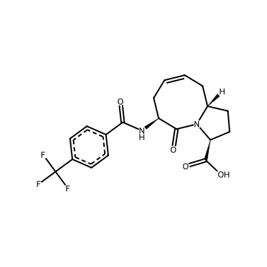 O=C(N[C@H]1C/C=C\C[C@@H]2CC[C@@H](C(=O)O)N2C1=O)c1ccc(C(F)(F)F)cc1